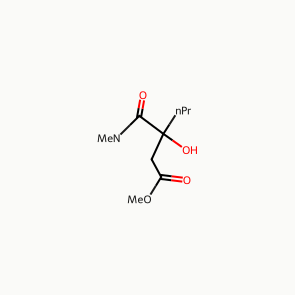 CCCC(O)(CC(=O)OC)C(=O)NC